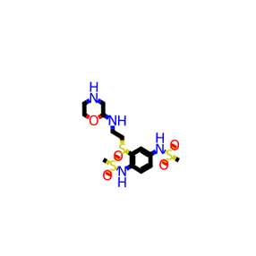 CS(=O)(=O)Nc1ccc(NS(C)(=O)=O)c(SCCNC2CNCCO2)c1